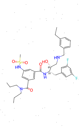 CCCN(CCC)C(=O)c1cc(NS(C)(=O)=O)cc(C(=O)N[C@@H](Cc2cc(F)cc(F)c2)[C@H](O)CNCc2cccc(CC)c2)c1